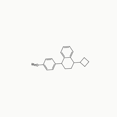 COc1ccc(C2CCC(C3CCC3)c3ccccc32)cc1